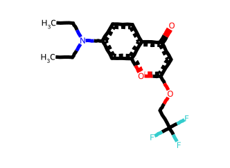 CCN(CC)c1ccc2c(=O)cc(OCC(F)(F)F)oc2c1